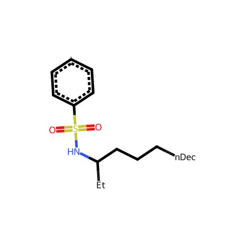 CCCCCCCCCCCCCC(CC)NS(=O)(=O)c1cc[c]cc1